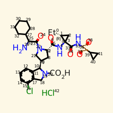 CC[C@@H]1C[C@]1(NC(=O)[C@@H]1C[C@@H](C2c3cccc(Cl)c3CN2C(=O)O)CN1C(=O)[C@@H](N)C1CCCCC1)C(=O)NS(=O)(=O)C1CC1.Cl